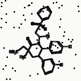 CCC(CS(=O)(=O)c1ccccc1)N1C(=O)C(C)(CC(=O)O)CC(c2cccc(Cl)c2)C1c1ccc(Cl)cc1